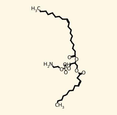 CCCCCCCC/C=C\CCCCCCCCC(=O)OC(COC(=O)C/C=C\CCCCCCCC)COP(=O)(O)OCCN